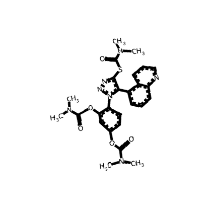 CN(C)C(=O)Oc1ccc(-n2nnc(SC(=O)N(C)C)c2-c2cccc3ncccc23)c(OC(=O)N(C)C)c1